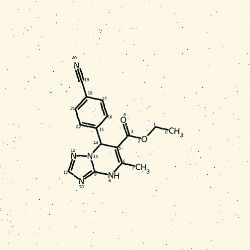 CCOC(=O)C1=C(C)Nc2ncnn2C1c1ccc(C#N)cc1